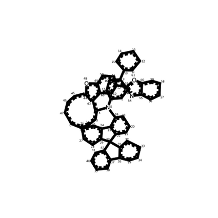 c1cccc(N(c2ccc(-c3ccccc3)cc2)c2cccc3c2-c2ccccc2C32c3ccccc3-c3ccccc32)c2c(ccc1)oc1ccc(-c3nc4ccccc4o3)cc12